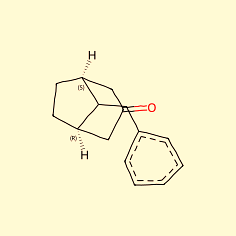 O=C1C[C@H]2CC[C@@H](C1)C2Cc1ccccc1